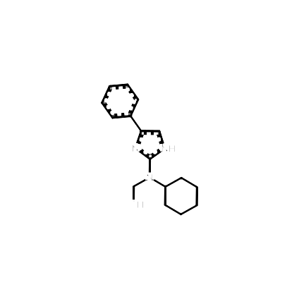 CCN(c1nc(-c2ccccc2)c[nH]1)C1CCCCC1